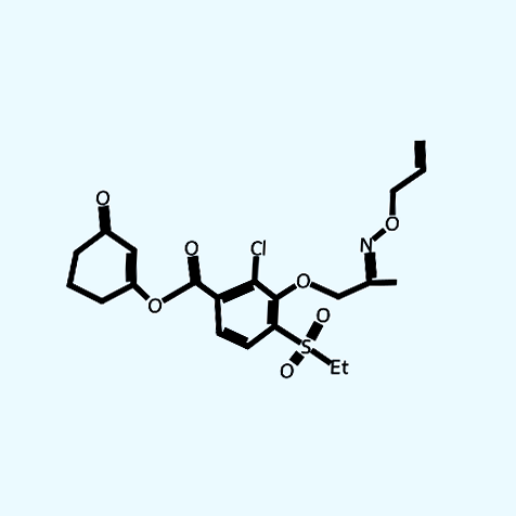 C=CCON=C(C)COc1c(S(=O)(=O)CC)ccc(C(=O)OC2=CC(=O)CCC2)c1Cl